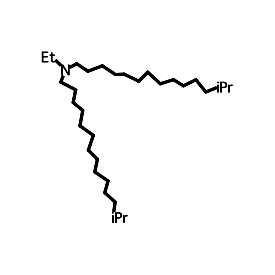 CCN(CCCCCCCCCCCCC(C)C)CCCCCCCCCCCCC(C)C